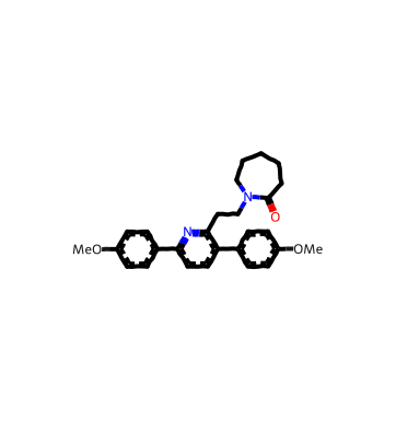 COc1ccc(-c2ccc(-c3ccc(OC)cc3)c(CCN3CCCCCC3=O)n2)cc1